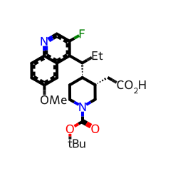 CCC(c1c(F)cnc2ccc(OC)cc12)[C@H]1CCN(C(=O)OC(C)(C)C)C[C@H]1CC(=O)O